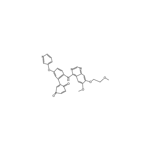 COCCOc1cc2ncnc(Nc3ccc(Oc4cccnc4)cc3C3=CC(=O)C=CC3=O)c2cc1OC